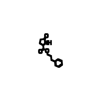 O=C1CCC(C(=O)OCCCc2ccccc2)N1